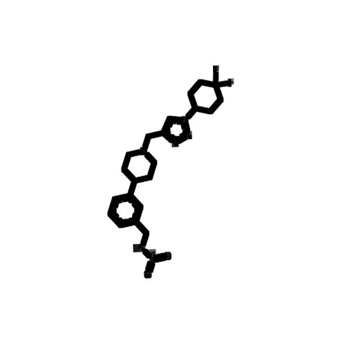 O=[SH](=O)NCc1cccc(C2CCN(Cc3cn(C4CCC(F)(F)CC4)nn3)CC2)c1